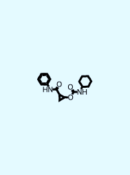 O=C(NC1CCCCC1)OC1CC1C(=O)Nc1ccccc1